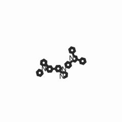 c1ccc(-c2cc(-c3ccccc3)nc(-c3ccc(-n4c5ccc(-c6ccc7c(c6)c6ccccc6n7-c6ccccc6)cc5c5ncccc54)cc3)c2)cc1